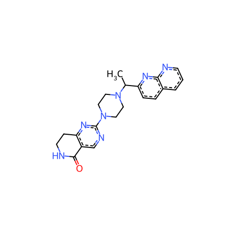 CC(c1ccc2cccnc2n1)N1CCN(c2ncc3c(n2)CCNC3=O)CC1